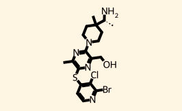 Cc1nc(N2CCC(C)([C@@H](C)N)CC2)c(CO)nc1Sc1ccnc(Br)c1Cl